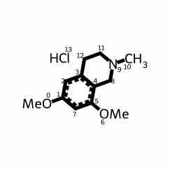 COc1cc2c(c(OC)c1)CN(C)CC2.Cl